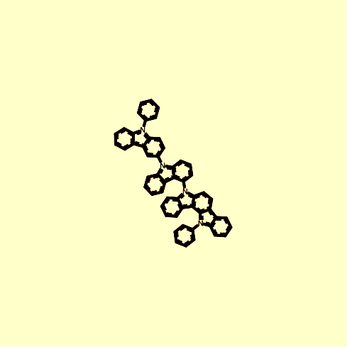 c1ccc(-n2c3ccccc3c3cc(-n4c5ccccc5c5c(-n6c7ccccc7c7c6ccc6c8ccccc8n(-c8ccccc8)c67)cccc54)ccc32)cc1